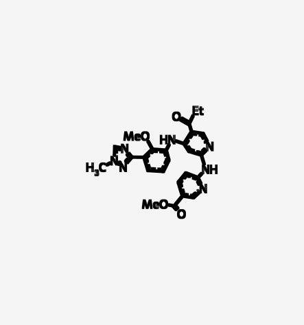 CCC(=O)c1cnc(Nc2ccc(C(=O)OC)cn2)cc1Nc1cccc(-c2ncn(C)n2)c1OC